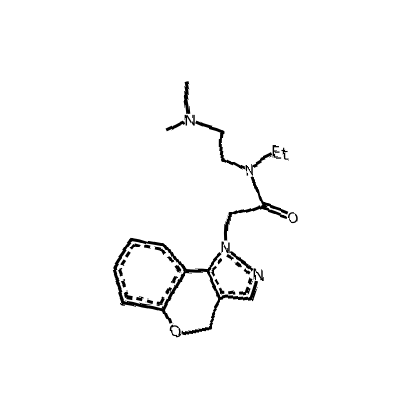 CCN(CCN(C)C)C(=O)Cn1ncc2c1-c1ccccc1OC2